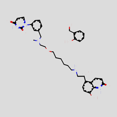 CN(CCOCCCCCCNC[C@H](O)c1ccc(O)c2[nH]c(=O)ccc12)Cc1cccc(-n2ccc(=O)[nH]c2=O)c1.OCc1ccccc1O